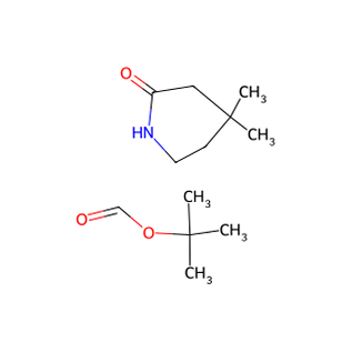 CC(C)(C)OC=O.CC1(C)CCNC(=O)C1